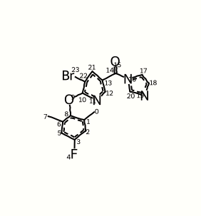 Cc1cc(F)cc(C)c1Oc1ncc(C(=O)n2ccnc2)cc1Br